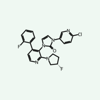 O=c1n(-c2ccc(Cl)nc2)ccn1-c1c(-c2ccccc2F)ccnc1N1CC[C@H](F)C1